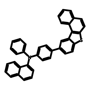 c1ccc(N(c2ccc(-c3ccc4sc5ccc6ccccc6c5c4c3)cc2)c2cccc3ccccc23)cc1